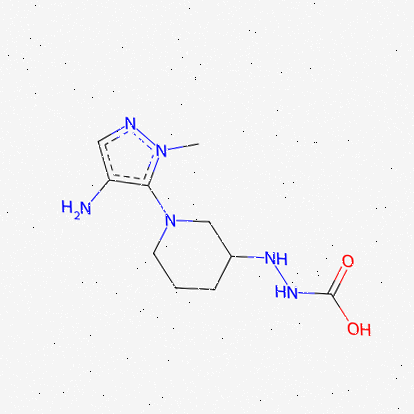 Cn1ncc(N)c1N1CCCC(NNC(=O)O)C1